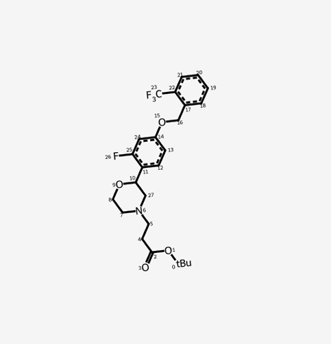 CC(C)(C)OC(=O)CCN1CCOC(c2ccc(OCc3ccccc3C(F)(F)F)cc2F)C1